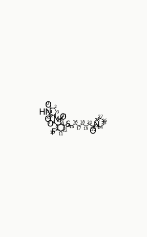 O=C1CCC(N2C(=O)c3c(F)ccc(SCCCCCCC(=O)N4CCCCC4)c3C2=O)C(=O)N1